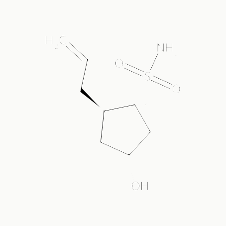 C=CC[C@@H]1C[C@@H](O)C[C@H]1S(N)(=O)=O